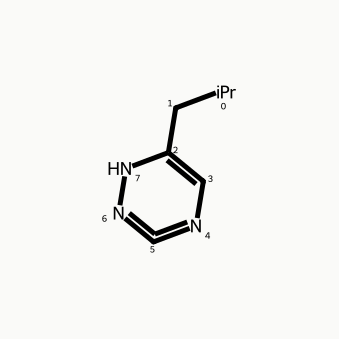 CC(C)CC1=CN=C=NN1